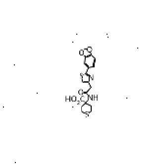 O=C(Cc1csc(-c2ccc3c(c2)OCO3)n1)NC1(C(=O)O)CCSCC1